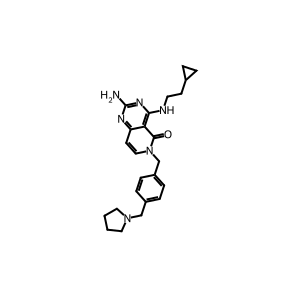 Nc1nc(NCCC2CC2)c2c(=O)n(Cc3ccc(CN4CCCC4)cc3)ccc2n1